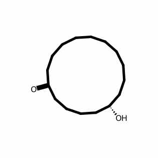 O=C1CCCCCCCCCC[C@H](O)CCCC1